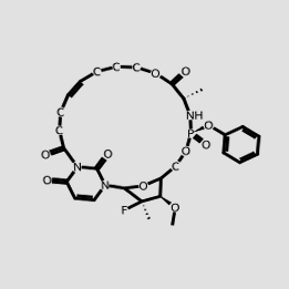 CO[C@@H]1C2CO[P@](=O)(Oc3ccccc3)N[C@@H](C)C(=O)OCCCC=CCCC(=O)n3c(=O)ccn(c3=O)C(O2)[C@]1(C)F